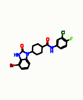 O=C(Nc1ccc(F)c(Cl)c1)C1CCC(n2c(=O)[nH]c3c(Br)cccc32)CC1